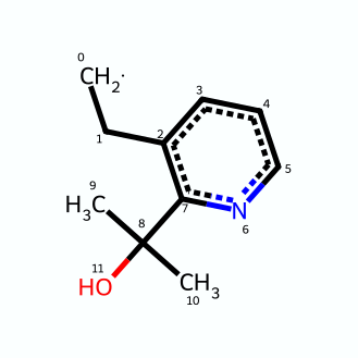 [CH2]Cc1cccnc1C(C)(C)O